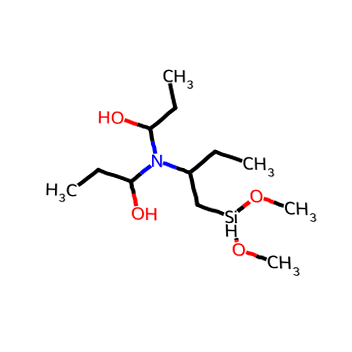 CCC(O)N(C(O)CC)C(CC)C[SiH](OC)OC